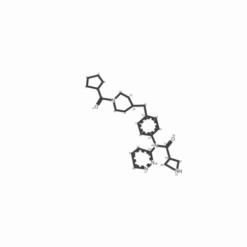 O=C(C1CCCC1)N1CCC(Cc2ccc(N(C(=O)C3CNC3)c3cccnn3)cc2)CC1